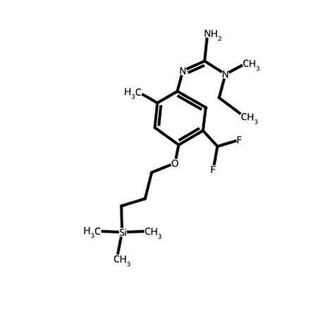 CCN(C)C(N)=Nc1cc(C(F)F)c(OCCC[Si](C)(C)C)cc1C